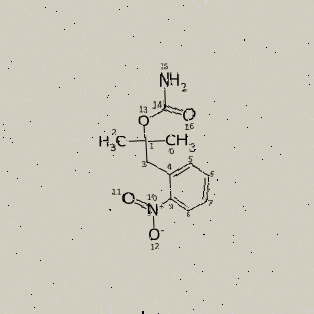 CC(C)(Cc1ccccc1[N+](=O)[O-])OC(N)=O